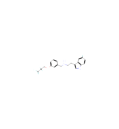 Fc1ccc2[nH]cc(CCNCc3cccc(OCC(F)(F)C(F)F)c3)c2c1